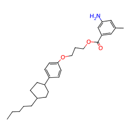 CCCCCC1CCC(c2ccc(OCCCOC(=O)c3cc(C)cc(N)c3)cc2)CC1